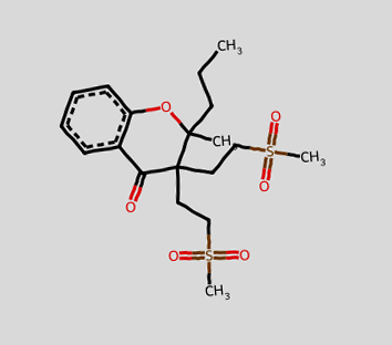 CCCC1(C)Oc2ccccc2C(=O)C1(CCS(C)(=O)=O)CCS(C)(=O)=O